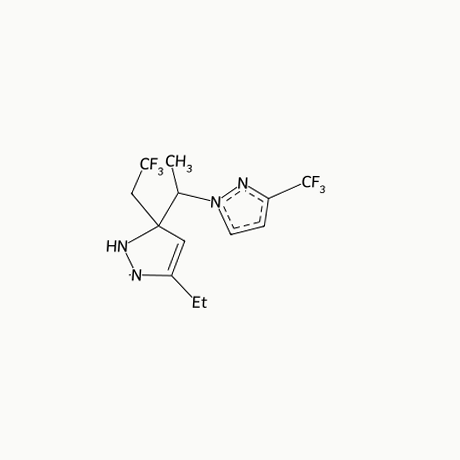 CCC1=CC(CC(F)(F)F)(C(C)n2ccc(C(F)(F)F)n2)N[N]1